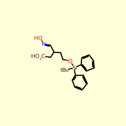 CC(C)(C)[Si](OCCC(C=NO)CC(=O)O)(c1ccccc1)c1ccccc1